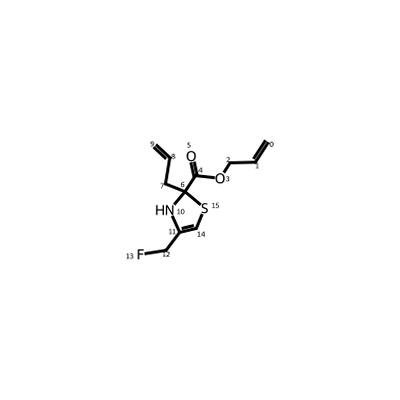 C=CCOC(=O)C1(CC=C)NC(CF)=CS1